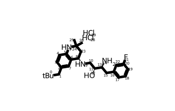 CC(C)(C)Cc1ccc2c(c1)[C@@H](NC[C@@H](O)[C@@H](N)Cc1cccc(F)c1)CC(C)(C)N2.Cl.Cl